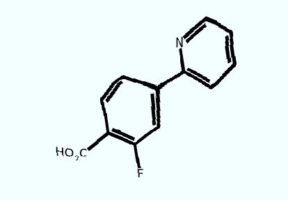 O=C(O)c1ccc(-c2ccccn2)cc1F